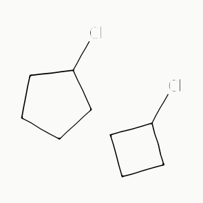 ClC1CCC1.ClC1CCCC1